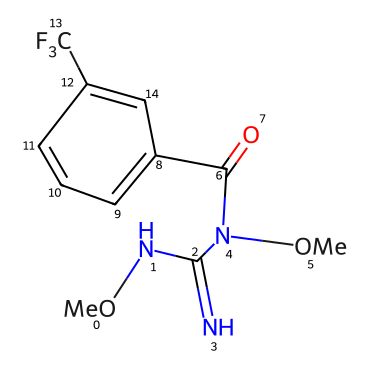 CONC(=N)N(OC)C(=O)c1cccc(C(F)(F)F)c1